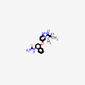 CCC(C)(C)C(=N)n1cc(OC2CCC(NC(N)=O)c3ccccc32)ccc1=N